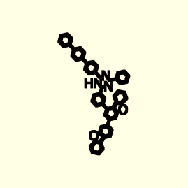 c1ccc(C2=NC(c3ccc(-c4ccc(-c5ccccc5)cc4)cc3)NC(c3cccc(-c4cc(-c5ccc6c(c5)oc5ccccc56)cc5oc6ccccc6c45)c3)=N2)cc1